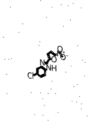 O=[N+]([O-])c1ccc(-c2nc3cc(Cl)ccc3[nH]2)o1